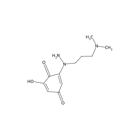 CN(C)CCCN(N)C1=CC(=O)C=C(O)C1=O